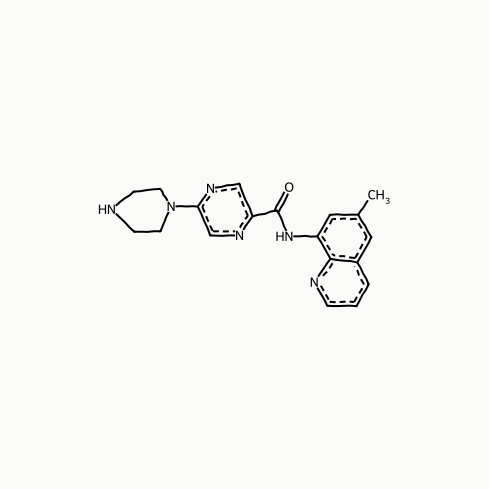 Cc1cc(NC(=O)c2cnc(N3CCNCC3)cn2)c2ncccc2c1